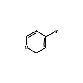 [Ir][C]1=CCOC=C1